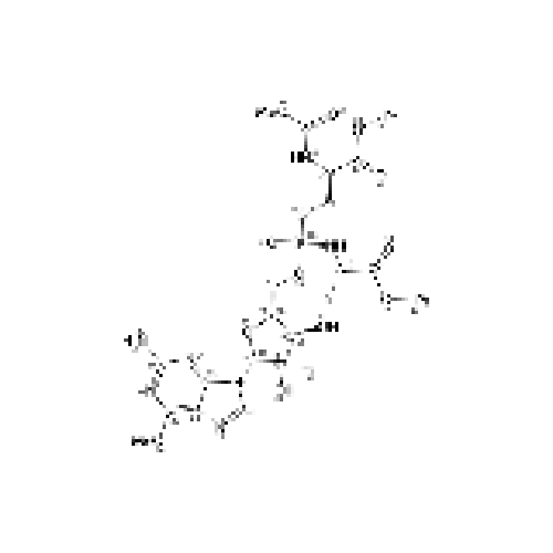 COC(=O)N[C@H](CS[P@](=O)(N[C@@H](C)C(=O)OC(C)C)OC[C@H]1O[C@@H](n2cnc3c(OC)nc(N)nc32)[C@](C)(O)[C@@H]1O)C(=O)OC(C)C